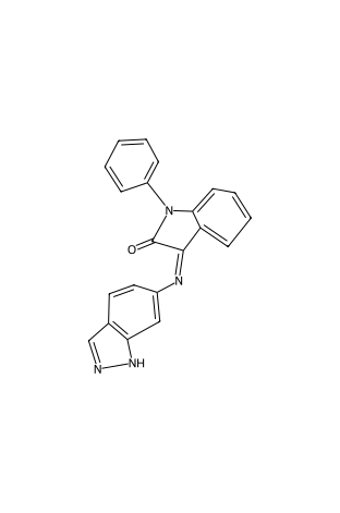 O=C1C(=Nc2ccc3cn[nH]c3c2)c2ccccc2N1c1ccccc1